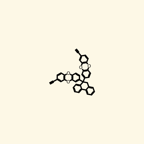 C#Cc1ccc2c(c1)Oc1cc(C3(c4ccc5c(c4)Oc4cc(C#C)ccc4O5)Cc4ccccc4-c4ccccc43)ccc1O2